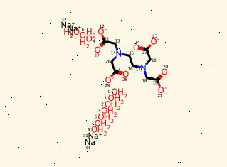 O.O.O.O.O.O.O.O.O.O.O=C([O-])CN(CCN(CC(=O)[O-])CC(=O)[O-])CC(=O)[O-].[Na+].[Na+].[Na+].[Na+]